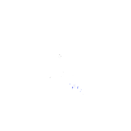 NC12C=CC=CC1(c1ccccc1C(=O)O)S2